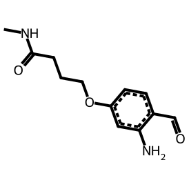 CNC(=O)CCCOc1ccc(C=O)c(N)c1